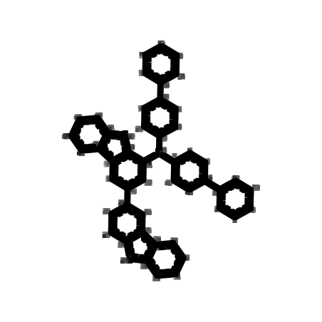 c1ccc(-c2ccc(N(c3ccc(-c4ccccc4)cc3)c3cc(-c4ccc5sc6ccccc6c5c4)cc4c3sc3ccccc34)cc2)cc1